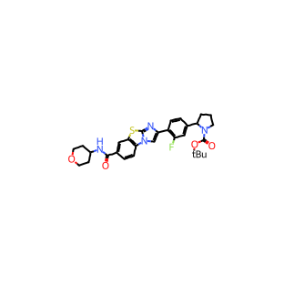 CC(C)(C)OC(=O)N1CCCC1c1ccc(-c2cn3c(n2)sc2cc(C(=O)NC4CCOCC4)ccc23)c(F)c1